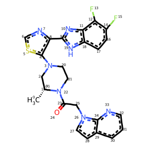 C[C@@H]1CN(c2scnc2-c2nc3c(F)c(F)ccc3[nH]2)CCN1C(=O)Cn1ccc2cccnc21